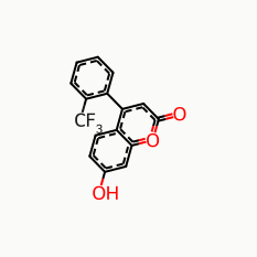 O=c1cc(-c2ccccc2C(F)(F)F)c2ccc(O)cc2o1